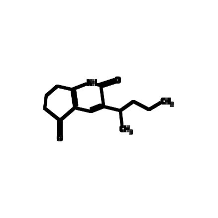 CCCC(C)c1cc2c([nH]c1=O)CCCC2=O